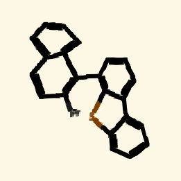 CC(C)c1ccc2ccccc2c1-c1cccc2c1sc1ccccc12